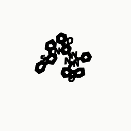 c1ccc(-c2nc(-c3cc(-n4c5ccccc5c5c6sc7ccccc7c6ccc54)c4c(c3)oc3ccccc34)nc(-c3cccc4oc5ccccc5c34)n2)cc1